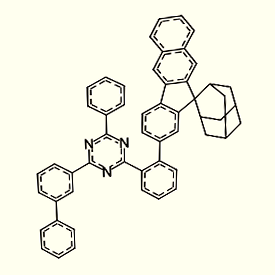 c1ccc(-c2cccc(-c3nc(-c4ccccc4)nc(-c4ccccc4-c4ccc5c(c4)C4(c6cc7ccccc7cc6-5)C5CC6CC(C5)CC4C6)n3)c2)cc1